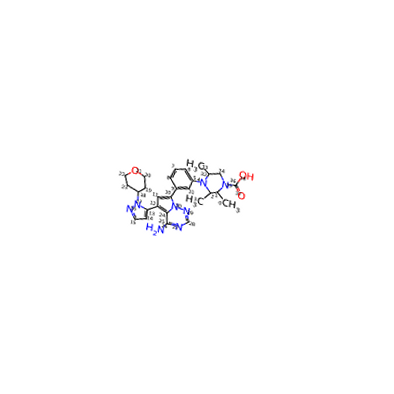 CC1C(C)N(c2cccc(-c3cc(-c4ccnn4C4CCOCC4)c4c(N)ncnn34)c2)C(C)CN1C(=O)O